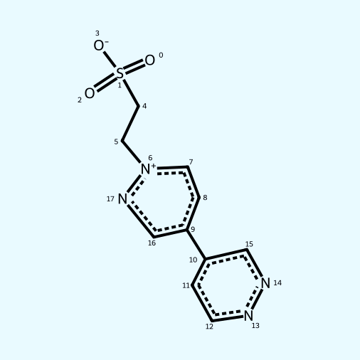 O=S(=O)([O-])CC[n+]1ccc(-c2ccnnc2)cn1